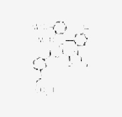 COc1cccc([C@H]2O[C@H](CC(=O)c3cccc(/C=C/C(=O)O)c3)C(=O)N(CC(C)(C)C)c3ccc(Cl)cc32)c1OC